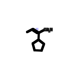 C/C=C(/C(=O)O)C1CCCC1